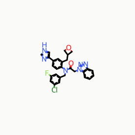 O=C(Cn1nnc2ccccc21)N(Cc1cc(F)cc(Cl)c1)c1ccc(-c2c[nH]cn2)cc1CC1COC1